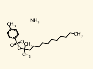 CCCCCCCCCCCC(C)(C)OS(=O)(=O)c1ccc(C)cc1.N